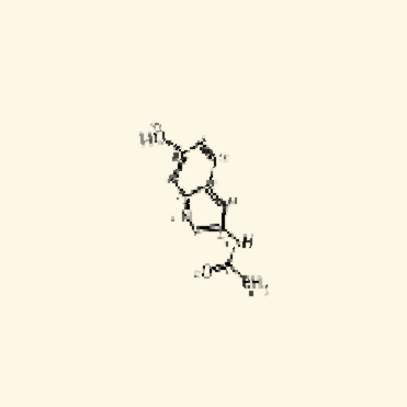 BC(=O)Nc1cnc2cc(O)ccc2c1